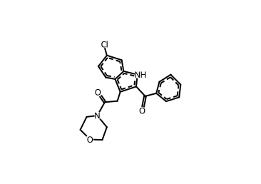 O=C(c1ccccc1)c1[nH]c2cc(Cl)ccc2c1CC(=O)N1CCOCC1